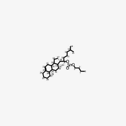 CCCC[O][Sn](=[O])[O][C@](C)(CCCC(C)C)[C@H]1CCC2C3CC=C4CCCC[C@]4(C)C3CC[C@@]21C